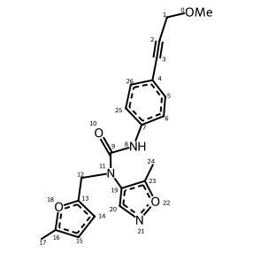 COCC#Cc1ccc(NC(=O)N(Cc2ccc(C)o2)c2cnoc2C)cc1